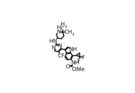 COC(=O)Nc1ccc2c(-c3nc(NC4CCC(C)(C)NC4)ncc3C(F)(F)F)c[nH]c2c1C1CC1(F)F